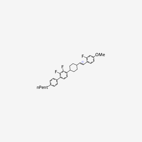 CCCCCc1ccc(-c2ccc(C3CCC(/C=C/c4ccc(OC)cc4F)CC3)c(F)c2F)cc1